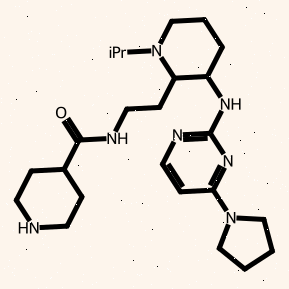 CC(C)N1CCCC(Nc2nccc(N3CCCC3)n2)C1CCNC(=O)C1CCNCC1